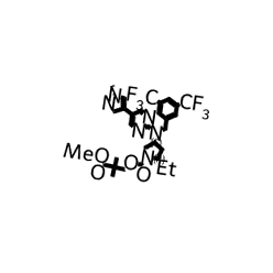 CC[C@@H]1C[C@H](N(Cc2cc(C(F)(F)F)cc(C(F)(F)F)c2)c2ncc(-c3cnn(C)c3)cn2)CN1C(=O)OCC(C)(C)C(=O)OC